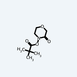 CC(C)(C)C(=O)ON1CCOCC1=O